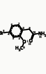 COc1cc(Br)ccc1CC(N)=O